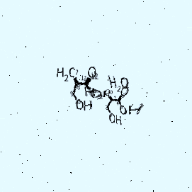 C=C(CO)C(=O)O.C=C(CO)C(=O)O.O